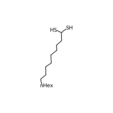 CCCCCCCCCCCCCCC(S)S